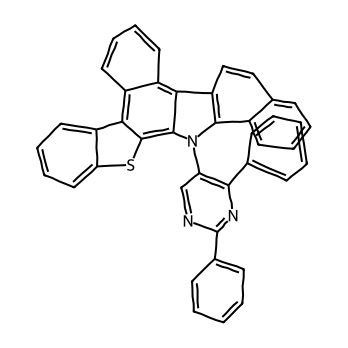 c1ccc(-c2ncc(-n3c4c5ccccc5ccc4c4c5ccccc5c5c6ccccc6sc5c43)c(-c3ccccc3)n2)cc1